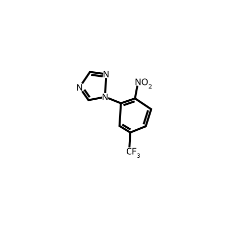 O=[N+]([O-])c1ccc(C(F)(F)F)cc1-n1cncn1